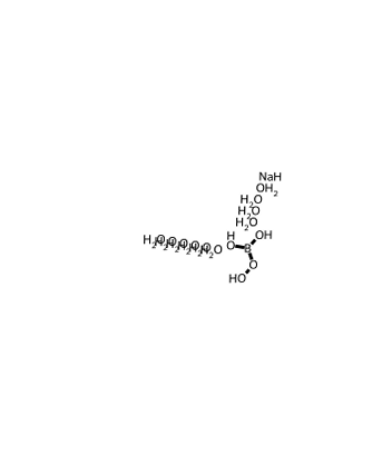 O.O.O.O.O.O.O.O.O.O.OOB(O)O.[NaH]